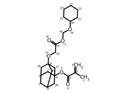 C=C(C)C(=O)OC12CC3CC(CC(OCC(=O)OCOC4CCCCC4)(C3)C1)C2